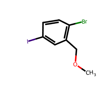 COCc1cc(I)ccc1Br